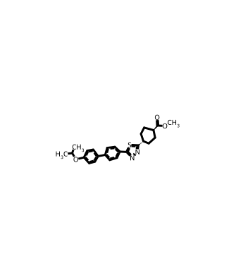 COC(=O)[C@H]1CC[C@H](c2nnc(-c3ccc(-c4ccc(OC(C)C)cc4)cc3)s2)CC1